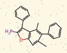 Cc1cc2oc(P)c(-c3ccccc3)c2c(C)c1-c1ccccc1